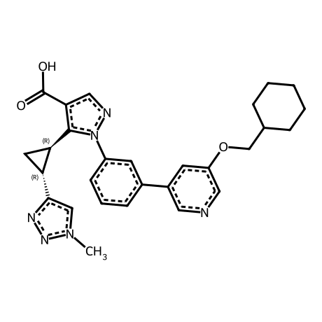 Cn1cc([C@@H]2C[C@H]2c2c(C(=O)O)cnn2-c2cccc(-c3cncc(OCC4CCCCC4)c3)c2)nn1